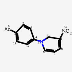 CC(=O)c1ccc(N2C=CC=C([N+](=O)[O-])C2)cc1